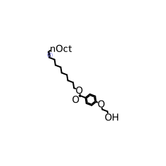 CCCCCCCC/C=C\CCCCCCCCOC(=O)c1ccc(OCCO)cc1